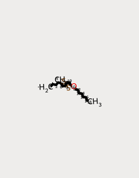 [CH2]CCC(C)c1cc2sc(OCCCCCCCC)cc2s1